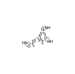 S=C(SSCC(CSSC(=S)C1CNCCO1)SSC(=S)C1CNCCO1)C1CNCCO1